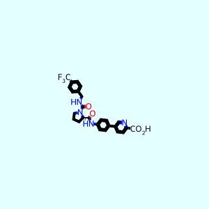 O=C(O)c1ccc(-c2ccc(NC(=O)[C@H]3CCCN3C(=O)NCc3ccc(C(F)(F)F)cc3)cc2)cn1